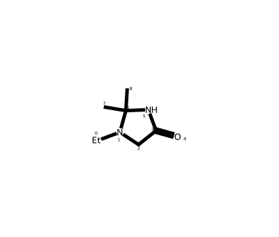 CCN1CC(=O)NC1(C)C